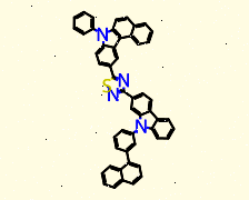 c1ccc(-n2c3ccc(-c4nc(-c5ccc6c7ccccc7n(-c7cccc(-c8cccc9ccccc89)c7)c6c5)ns4)cc3c3c4ccccc4ccc32)cc1